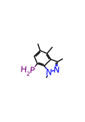 Cc1cc(P)c2c(c(C)nn2C)c1C